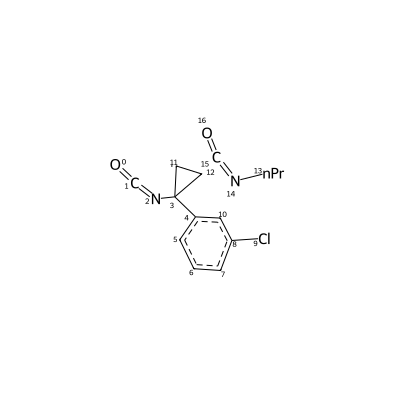 O=C=NC1(c2cccc(Cl)c2)[CH]C1.[CH2]CCN=C=O